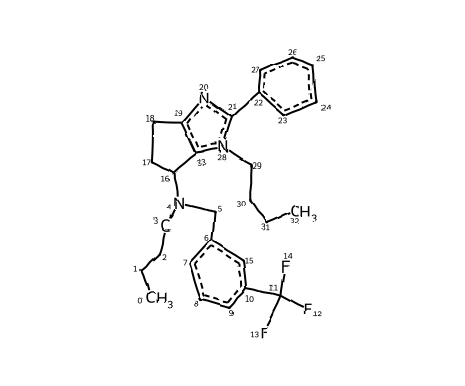 CCCCN(Cc1cccc(C(F)(F)F)c1)C1CCc2nc(-c3ccccc3)n(CCCC)c21